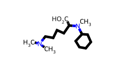 CN(C)CCCCC(C(=O)O)N(C)C1CCCCC1